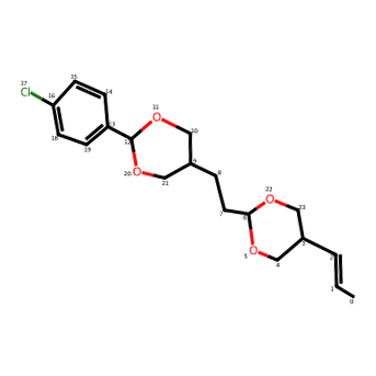 CC=CC1COC(CCC2COC(c3ccc(Cl)cc3)OC2)OC1